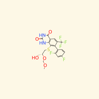 COCO[C@H](CO)CSc1c(-c2ccc(F)cc2F)c(C(F)(F)F)cc2c(=O)[nH]c(=O)[nH]c12